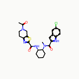 CC(=O)N1CCc2nc(C(=O)N[C@@H]3CCCC[C@@H]3N(C)C(=O)c3cc4cc(Cl)ccc4[nH]3)sc2C1